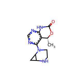 C[C@H]1OC(=O)Nc2ncnc(N3CCNC4CC43)c21